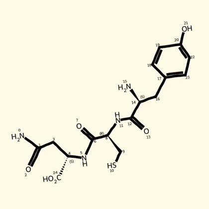 NC(=O)C[C@H](NC(=O)[C@H](CS)NC(=O)[C@@H](N)Cc1ccc(O)cc1)C(=O)O